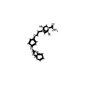 NC(=O)N1C[C@H]2C[C@@H]1CN2CCOc1ccc(Oc2nc3ncccc3s2)cc1